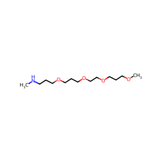 CNCCCOCCCOCCOCCCOC